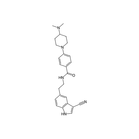 CN(C)C1CCN(c2ccc(C(=O)NCCc3ccc4[nH]cc(C#N)c4c3)cc2)CC1